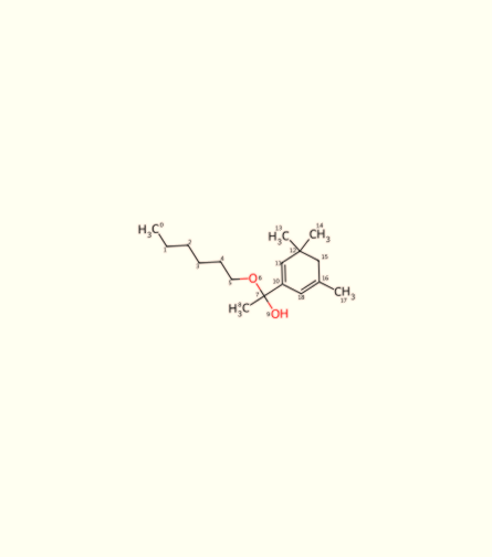 CCCCCCOC(C)(O)C1=CC(C)(C)CC(C)=C1